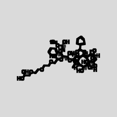 CC1[C@@H]2[C@H](O)[C@H](O)[C@@]3(C)[C@H](O)C[C@@H]4OC[C@]4(O[C@H](C)O)[C@@H]3[C@@H](OC(=O)c3ccccc3)[C@@](O)(C[C@H]1O[C@@H](O)[C@@H](O[C@H](O)COCCOCCOCC(O)O)[C@H](N[C@@H](O)OC(C)(C)C)c1ccccc1)C2(C)C